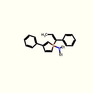 CC=C(c1ccccc1)S1(N(CC)CC)C=CC(c2ccccc2)=C1